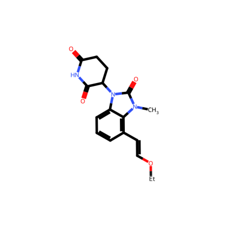 CCOC=Cc1cccc2c1n(C)c(=O)n2C1CCC(=O)NC1=O